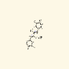 CCCCCCCCC(=N\c1ccc(C)c(C)c1)/C(CC)=N/c1ccc(C)c(C)c1.[Ni]